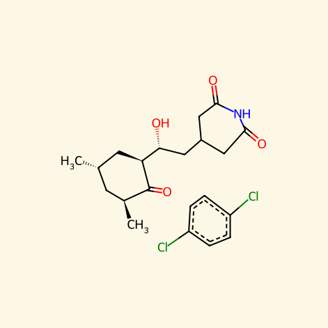 C[C@@H]1C[C@@H]([C@H](O)CC2CC(=O)NC(=O)C2)C(=O)[C@@H](C)C1.Clc1ccc(Cl)cc1